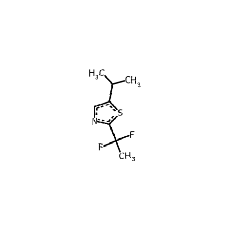 CC(C)c1cnc(C(C)(F)F)s1